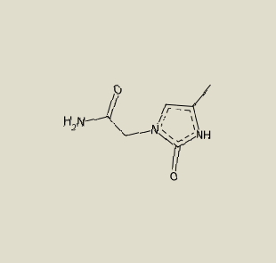 Cc1cn(CC(N)=O)c(=O)[nH]1